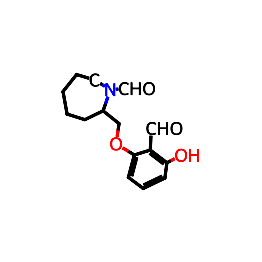 O=Cc1c(O)cccc1OCC1CCCCCN1C=O